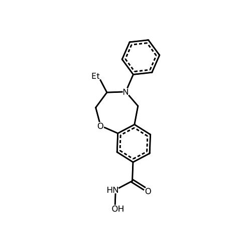 CCC1COc2cc(C(=O)NO)ccc2CN1c1ccccc1